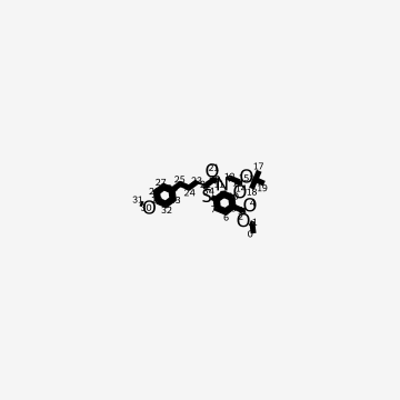 CCOC(=O)c1ccc2c(c1)N(CC(=O)OC(C)(C)C)C(=O)[C@H](CCCc1ccc(OC)cc1)S2